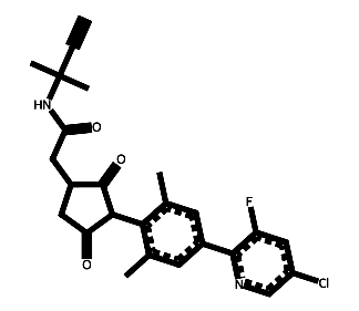 C#CC(C)(C)NC(=O)CC1CC(=O)C(c2c(C)cc(-c3ncc(Cl)cc3F)cc2C)C1=O